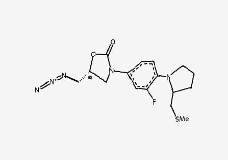 CSCC1CCCN1c1ccc(N2C[C@H](CN=[N+]=[N-])OC2=O)cc1F